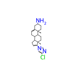 C[C@]12CC[C@H](N)CC1=CCC1C2CC[C@]2(C)C(n3cnc(Cl)c3)=CCC12